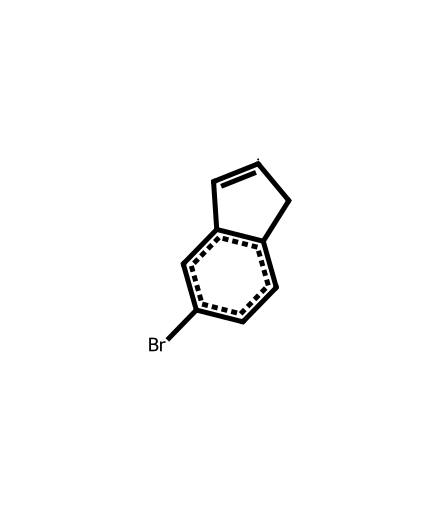 Brc1ccc2c(c1)C=[C]C2